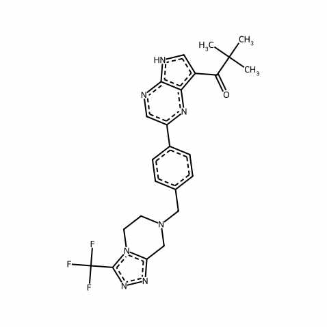 CC(C)(C)C(=O)c1c[nH]c2ncc(-c3ccc(CN4CCn5c(nnc5C(F)(F)F)C4)cc3)nc12